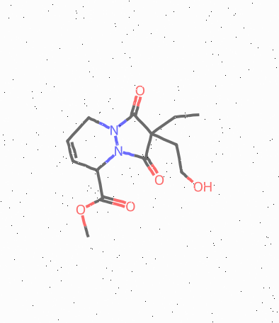 CCC1(CCO)C(=O)N2CC=CC(C(=O)OC)N2C1=O